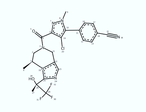 C[C@H]1CN(C(=O)c2nn(C)c(-c3ccc(C#N)cc3)c2Cl)Cc2cnc([C@@](C)(O)C(F)(F)F)n21